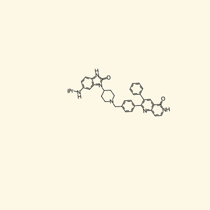 CC(C)Nc1ccc2[nH]c(=O)n(C3CCN(Cc4ccc(-c5nc6cc[nH]c(=O)c6cc5-c5ccccc5)cc4)CC3)c2c1